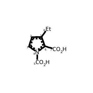 CCc1ccn(C(=O)O)c1C(=O)O